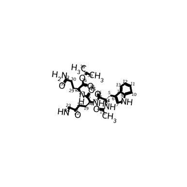 CC(=O)N[C@@H](Cc1c[nH]c2ccccc12)C(=O)N[C@@H](CCC(=O)C=N)C(=O)N[C@@H](CCC(N)=O)C(=O)OC(C)C